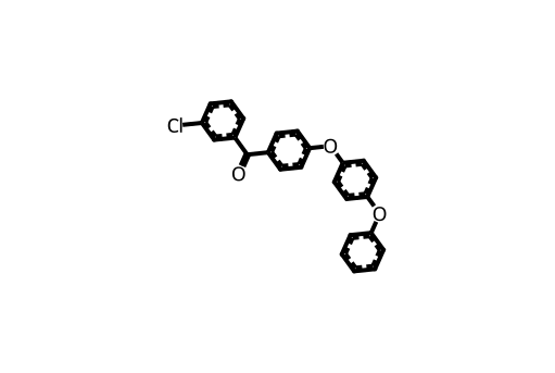 O=C(c1ccc(Oc2ccc(Oc3ccccc3)cc2)cc1)c1cccc(Cl)c1